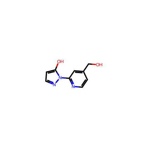 OCc1ccnc(-n2nccc2O)c1